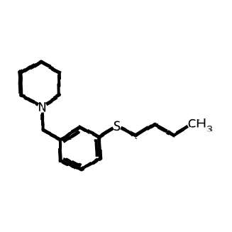 CCC[CH]Sc1cccc(CN2CCCCC2)c1